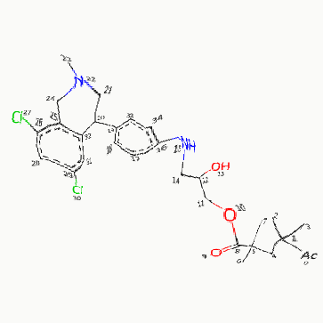 CC(=O)C(C)(C)CC(C)(C)C(=O)OCC(O)CNc1ccc(C2CN(C)Cc3c(Cl)cc(Cl)cc32)cc1